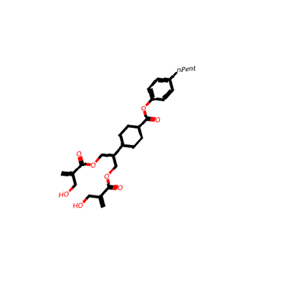 C=C(CO)C(=O)OCC(COC(=O)C(=C)CO)C1CCC(C(=O)Oc2ccc(CCCCC)cc2)CC1